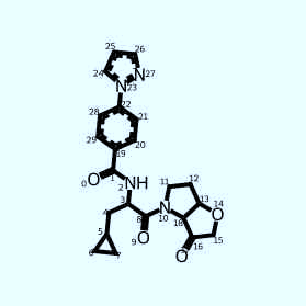 O=C(NC(CC1CC1)C(=O)N1CCC2OCC(=O)C21)c1ccc(-n2cccn2)cc1